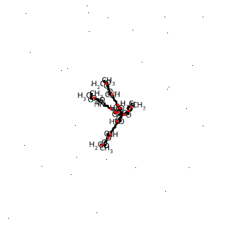 C=C(C)C(=O)OCCOC(=O)NCCCCCCNC(=O)OCC(COC(=O)NCCCCCCNC(=O)OCCOC(=O)C(=C)C)(COC(=O)NCCCCCCNC(=O)OCCOC(=O)C(=C)C)COC(=O)c1ccc(N(C)C)cc1